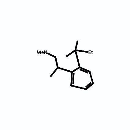 CCC(C)(C)c1ccccc1C(C)CNC